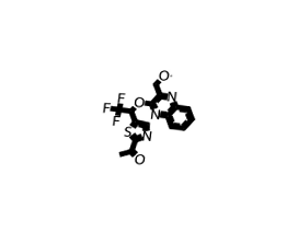 CC(=O)c1ncc(C(Oc2nc3ccccc3nc2C[O])C(F)(F)F)s1